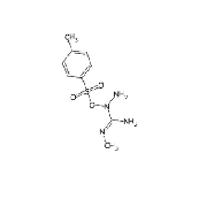 CN=C(N)N(N)OS(=O)(=O)c1ccc(C)cc1